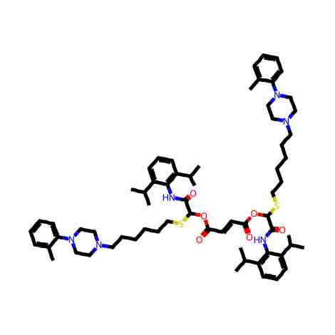 Cc1ccccc1N1CCN(CCCCCCSC(OC(=O)/C=C/C(=O)OC(SCCCCCCN2CCN(c3ccccc3C)CC2)C(=O)Nc2c(C(C)C)cccc2C(C)C)C(=O)Nc2c(C(C)C)cccc2C(C)C)CC1